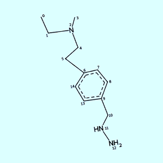 CCN(C)CCc1ccc(CNN)cc1